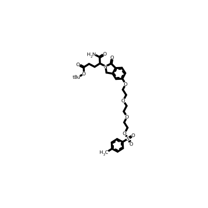 Cc1ccc(S(=O)(=O)OCCOCCOCCOc2ccc3c(c2)CN(C(CCC(=O)OC(C)(C)C)C(N)=O)C3=O)cc1